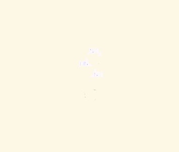 CCC(N)NC(CC)NCc1ccccc1